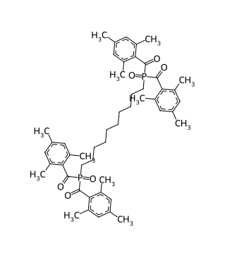 Cc1cc(C)c(C(=O)P(=O)(CCCCCCCCCCP(=O)(C(=O)c2c(C)cc(C)cc2C)C(=O)c2c(C)cc(C)cc2C)C(=O)c2c(C)cc(C)cc2C)c(C)c1